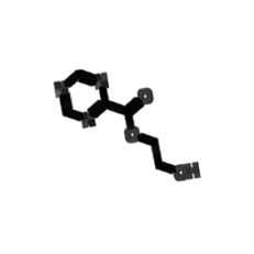 O=C(OCCO)c1ncncn1